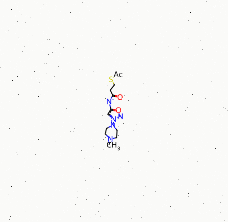 CC(=O)SCCC(=O)[N-]c1c[n+](N2CCN(C)CC2)no1